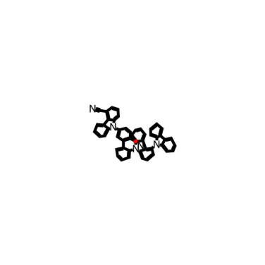 N#Cc1ccc(-n2c3ccccc3c3c(C#N)cccc32)cc1-c1ccccc1-n1c2ccccc2c2c(-n3c4ccccc4c4ccccc43)cccc21